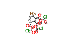 O=C(Cl)OC(=O)c1ccc(S)c(C(=O)OC(=O)Cl)c1C(=O)OC(=O)Cl